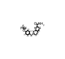 NC(=O)c1n[c]c2c(n1)CN(Cc1ccc(OC(F)(F)F)cc1)CC2